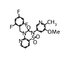 COc1cc(N2C(=O)N(Cc3c(F)cc(F)cc3F)c3ncccc3S2(=O)=O)cnc1C